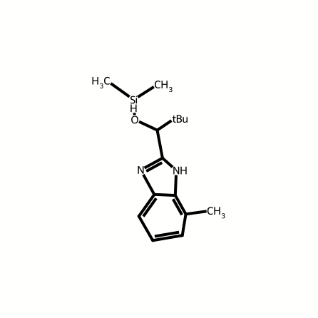 Cc1cccc2nc(C(O[SiH](C)C)C(C)(C)C)[nH]c12